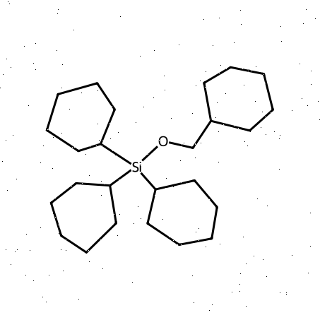 C1CCC(CO[Si](C2CCCCC2)(C2CCCCC2)C2CCCCC2)CC1